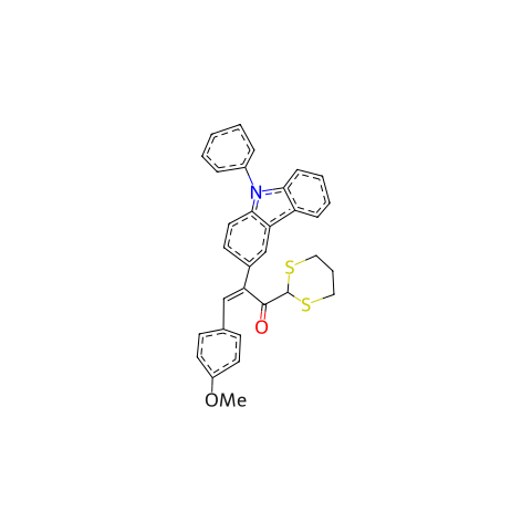 COc1ccc(C=C(C(=O)C2SCCCS2)c2ccc3c(c2)c2ccccc2n3-c2ccccc2)cc1